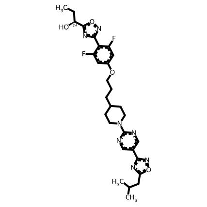 CC[C@H](O)c1nc(-c2c(F)cc(OCCCC3CCN(c4ncc(-c5noc(CC(C)C)n5)cn4)CC3)cc2F)no1